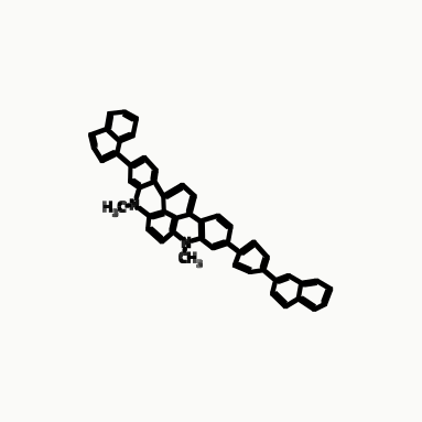 CN1c2cc(-c3ccc(-c4ccc5ccccc5c4)cc3)ccc2-c2ccc3c4c(ccc1c24)N(C)c1cc(-c2cccc4ccccc24)ccc1-3